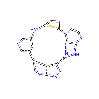 c1cc2c3ccc([nH]c4cncc(c4)c4cnc5[nH]nc(c6nc2c(n1)[nH]6)c5c4)s3